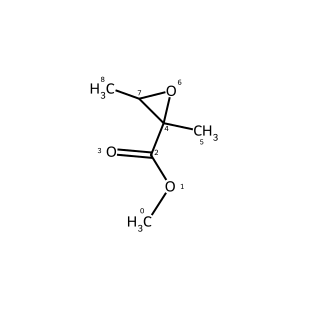 COC(=O)C1(C)OC1C